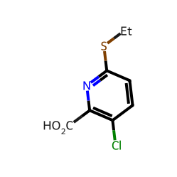 CCSc1ccc(Cl)c(C(=O)O)n1